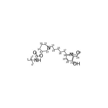 CC(C)(C)NC(=O)OC1CCCN(CCCCCc2ccc(O)c(C=O)n2)C1